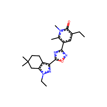 CCc1cc(-c2noc(-c3nn(CC)c4c3CCC(C)(C)C4)n2)c(C)n(C)c1=O